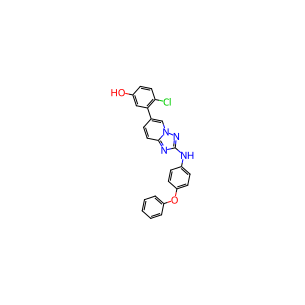 Oc1ccc(Cl)c(-c2ccc3nc(Nc4ccc(Oc5ccccc5)cc4)nn3c2)c1